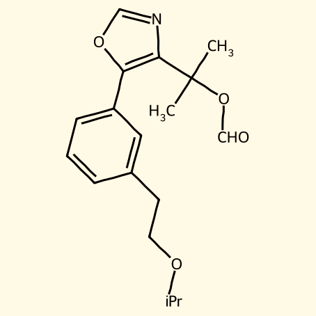 CC(C)OCCc1cccc(-c2ocnc2C(C)(C)OC=O)c1